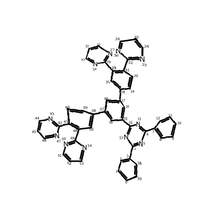 c1ccc(-c2nc(-c3ccccc3)nc(-c3cc(-c4ccc(-c5ncccn5)c(-c5ncccn5)c4)cc(-c4ccc(-c5ncccn5)c(-c5ncccn5)c4)c3)n2)cc1